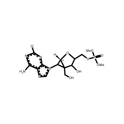 COP(=O)(OC)OCC1O[C@H]2C(n3cnc4c(N)nc(Cl)nc43)C2(CO)C1O